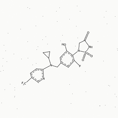 O=C1CN(c2c(O)cc(CN(c3ccc(C(F)(F)F)cn3)C3CC3)cc2F)S(=O)(=O)N1